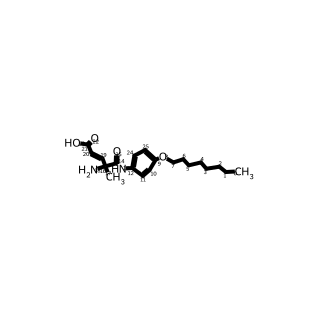 CCCCCCCCOc1ccc(NC(=O)C(C)(N)C=CC(=O)O)cc1